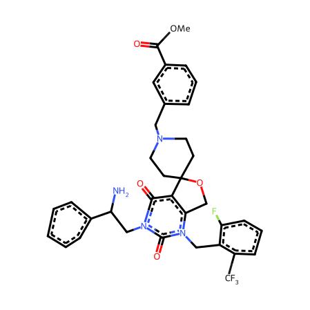 COC(=O)c1cccc(CN2CCC3(CC2)OCc2c3c(=O)n(CC(N)c3ccccc3)c(=O)n2Cc2c(F)cccc2C(F)(F)F)c1